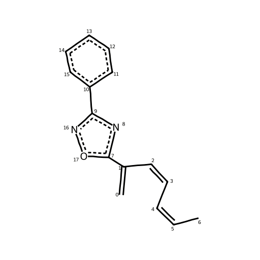 C=C(/C=C\C=C/C)c1nc(-c2ccccc2)no1